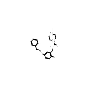 C[C@@H]1CNC[C@H](C)N1C(=O)OCc1cc(OCCc2ccccc2)ccc1F